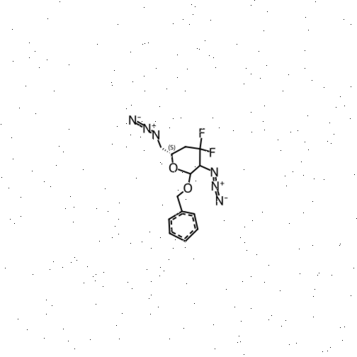 [N-]=[N+]=NC[C@@H]1CC(F)(F)C(N=[N+]=[N-])C(OCc2ccccc2)O1